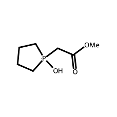 COC(=O)C[P]1(O)CCCC1